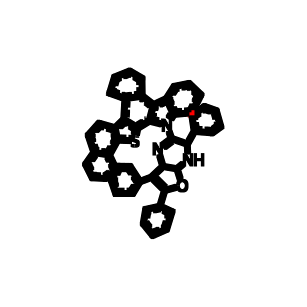 c1ccc(C2=C(c3ccccc3)C3N=C(n4c5ccccc5c5c6ccccc6c6c7ccc8ccccc8c7sc6c54)C(c4ccccc4)NC3O2)cc1